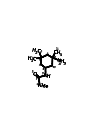 CNC(=O)NC1CC(C)(C)CC(C)(N)C1